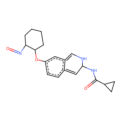 O=NC1CCCCC1Oc1ccc2c(c1)=CNC(NC(=O)C1CC1)C=2